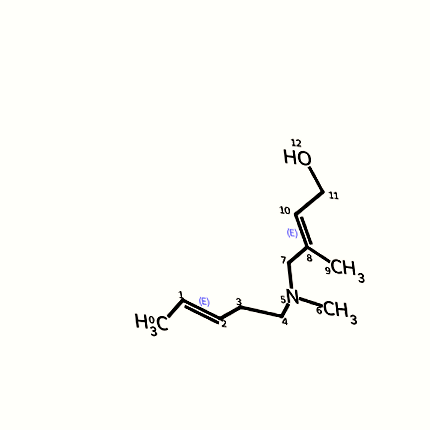 C/C=C/CCN(C)C/C(C)=C/CO